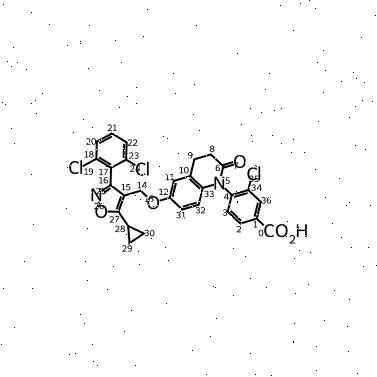 O=C(O)c1ccc(N2C(=O)CCc3cc(OCc4c(-c5c(Cl)cccc5Cl)noc4C4CC4)ccc32)c(Cl)c1